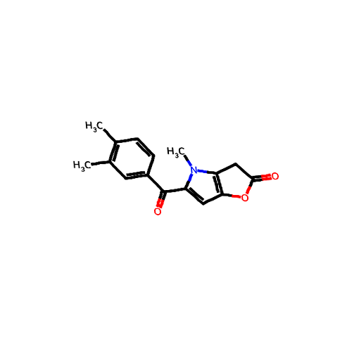 Cc1ccc(C(=O)c2cc3c(n2C)CC(=O)O3)cc1C